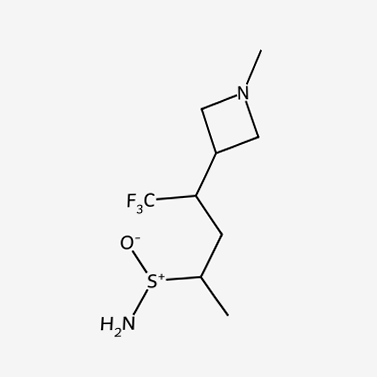 CC(CC(C1CN(C)C1)C(F)(F)F)[S+](N)[O-]